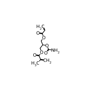 C=CC(=O)OCC(COC(=O)C(=C)C)OC(N)=O